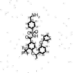 CC(Oc1ccc(C(=O)NS(=O)(=O)c2ccc(CN)cc2)cc1C(F)(F)F)c1cccc(Oc2ccsc2)c1